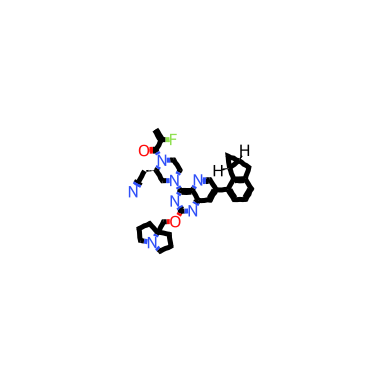 C=C(F)C(=O)N1CCN(c2nc(OCC34CCCN3CCC4)nc3cc(-c4cccc5c4[C@H]4C[C@H]4C5)cnc23)C[C@@H]1CC#N